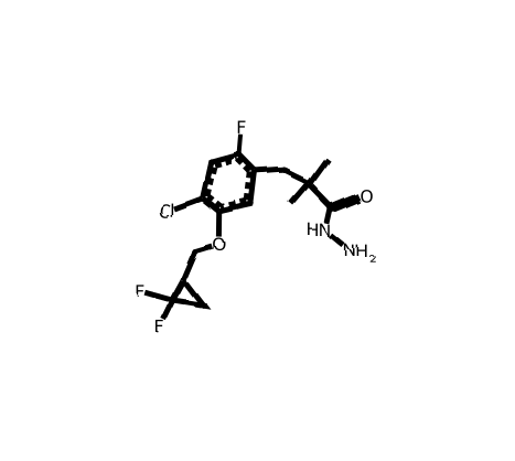 CC(C)(Cc1cc(OCC2CC2(F)F)c(Cl)cc1F)C(=O)NN